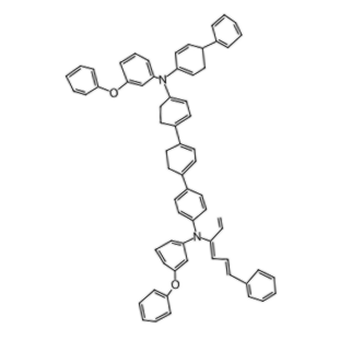 C=C/C(=C\C=C\c1ccccc1)N(c1ccc(C2=CC=C(C3=CC=C(N(C4=CCC(c5ccccc5)C=C4)c4cccc(Oc5ccccc5)c4)CC3)CC2)cc1)c1cccc(Oc2ccccc2)c1